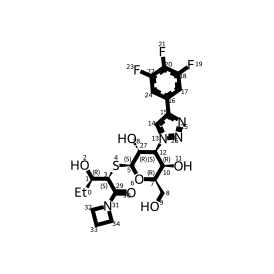 CC[C@@H](O)[C@H](S[C@@H]1O[C@H](CO)[C@H](O)[C@H](n2cc(-c3cc(F)c(F)c(F)c3)nn2)[C@H]1O)C(=O)N1CCC1